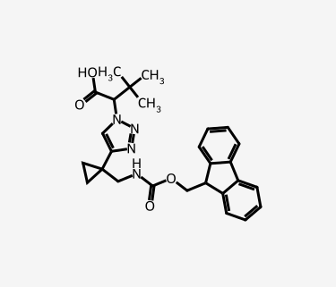 CC(C)(C)C(C(=O)O)n1cc(C2(CNC(=O)OCC3c4ccccc4-c4ccccc43)CC2)nn1